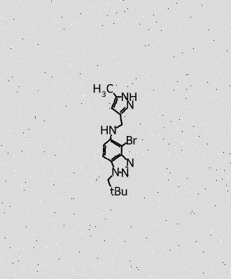 Cc1cc(CNc2ccc3c(nnn3CC(C)(C)C)c2Br)n[nH]1